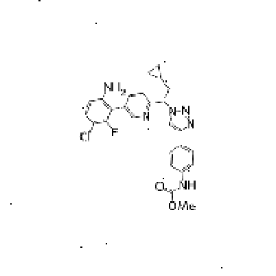 COC(=O)Nc1ccc(-c2cn(C(CC3CC3)c3ccc(-c4c(N)ccc(Cl)c4F)cn3)nn2)cc1